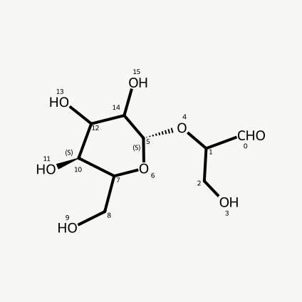 O=CC(CO)O[C@@H]1OC(CO)[C@@H](O)C(O)C1O